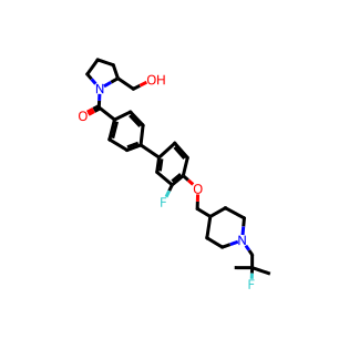 CC(C)(F)CN1CCC(COc2ccc(-c3ccc(C(=O)N4CCCC4CO)cc3)cc2F)CC1